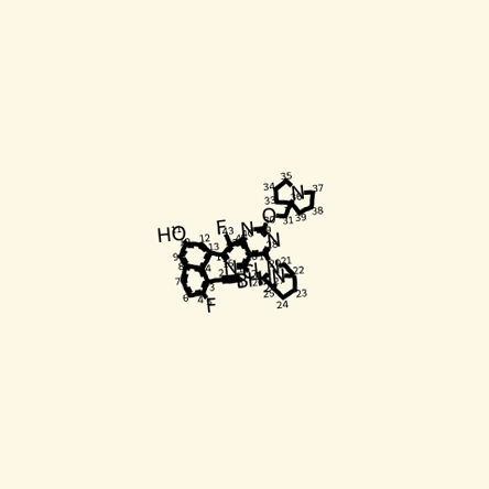 BC#Cc1c(F)ccc2cc(O)cc(-c3nc(Cl)c4c(N5CC6CCC(C5)N6)nc(OCC56CCCN5CCC6)nc4c3F)c12